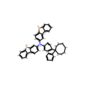 c1ccc(C2(c3ccc(N(c4ccc5c(c4)sc4ccccc45)c4ccc5sc6ccccc6c5c4)cc3)CCCCCCC2)cc1